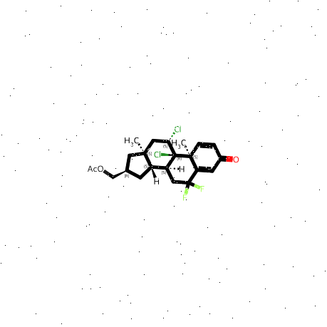 CC(=O)OC[C@@H]1C[C@H]2[C@@H]3CC(F)(F)C4=CC(=O)C=C[C@]4(C)[C@@]3(Cl)[C@@H](Cl)C[C@]2(C)C1